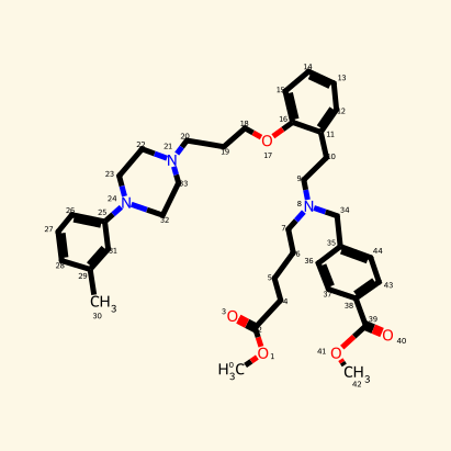 COC(=O)CCCCN(CCc1ccccc1OCCCN1CCN(c2cccc(C)c2)CC1)Cc1ccc(C(=O)OC)cc1